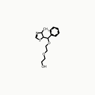 CC1N=CSC1C(OCCOCCO)c1ccccc1